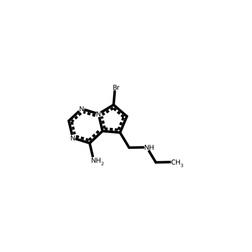 CCNCc1cc(Br)n2ncnc(N)c12